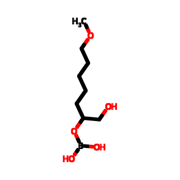 COCCCCCC(CO)OB(O)O